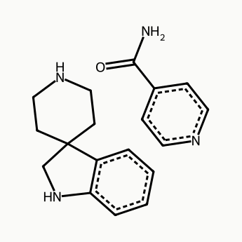 NC(=O)c1ccncc1.c1ccc2c(c1)NCC21CCNCC1